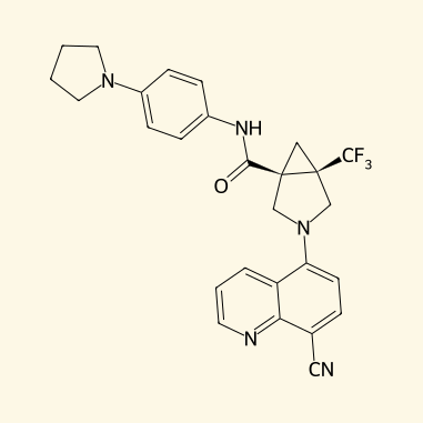 N#Cc1ccc(N2C[C@]3(C(=O)Nc4ccc(N5CCCC5)cc4)C[C@]3(C(F)(F)F)C2)c2cccnc12